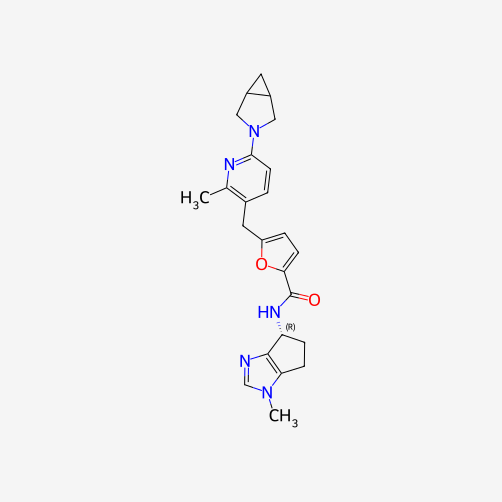 Cc1nc(N2CC3CC3C2)ccc1Cc1ccc(C(=O)N[C@@H]2CCc3c2ncn3C)o1